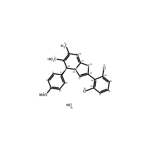 COc1ccc([C@H]2C(C(=O)O)=C(C)N=C3SC(c4c(Cl)cccc4Cl)=CN32)cc1.Cl